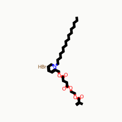 Br.C=C(C)C(=O)OCCOC(=O)CCC(=O)OCC1=CC=CCN1CCCCCCCCCCCCCCCC